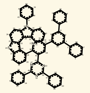 c1ccc(-c2cc(-c3ccccc3)cc(-c3cnc(-c4cccc5sc6ccc7c(c8ccccc8n7-c7ccccc7)c6c45)c(-c4nc(-c5ccccc5)nc(-c5ccccc5)n4)c3)c2)cc1